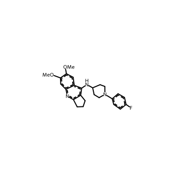 COc1cc2nc3c(c(NC4CCN(c5ccc(F)cc5)CC4)c2cc1OC)CCC3